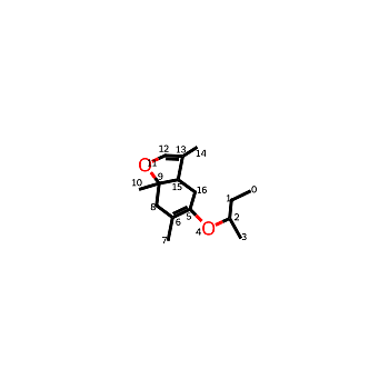 CCC(C)OC1=C(C)CC2(C)OC=C(C)C2C1